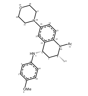 COc1ccc(N[C@H]2C[C@@H](C)N(C(C)=O)c3ccc(N4CCOCC4)cc32)cc1